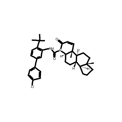 CC(C)(C)c1ccc(-c2ccc(Cl)cc2)cc1NC(=O)N1C(=O)C=C[C@]2(C)[C@H]3CC[C@]4(C)CCC[C@H]4[C@@H]3CC[C@@H]12